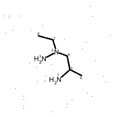 CCN(N)CC(C)N